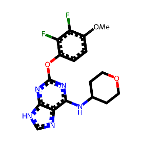 COc1ccc(Oc2nc(NC3CCOCC3)c3nc[nH]c3n2)c(F)c1F